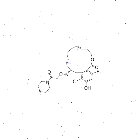 CCc1cc(O)c(Cl)c2c1C(=O)OCC/C=C/CC/C=C/C(=N\OCC(=O)N1CCSCC1)C2